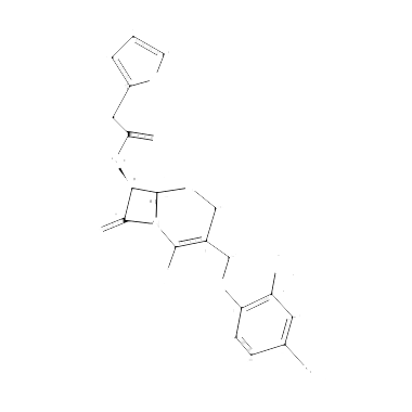 O=C(Cc1cccs1)N[C@@H]1C(=O)N2C(C(=O)O)=C(CSc3ccc([N+](=O)[O-])cc3C(=O)O)CS[C@H]12